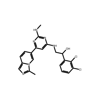 CNc1nc(NCC(O)c2cccc(Cl)c2Cl)cc(-c2ccc3cnc(C)n3c2)n1